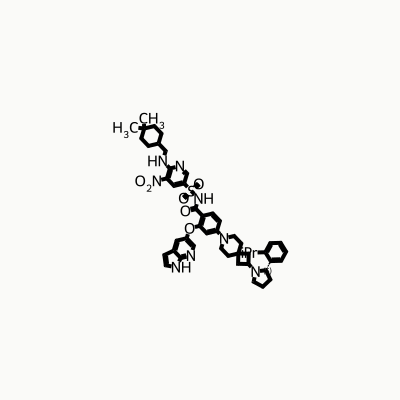 CC(C)c1ccccc1[C@@H]1CCCN1C1CC2(CCN(c3ccc(C(=O)NS(=O)(=O)c4cnc(NCC5CCC(C)(C)CC5)c([N+](=O)[O-])c4)c(Oc4cnc5[nH]ccc5c4)c3)CC2)C1